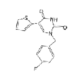 O=c1[nH]c(=O)n(Cc2ccc(F)cc2)cc1-c1cccs1